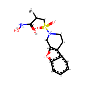 CC(C)C(CS(=O)(=O)N1CCc2c(oc3ccccc23)C1)C(=O)NO